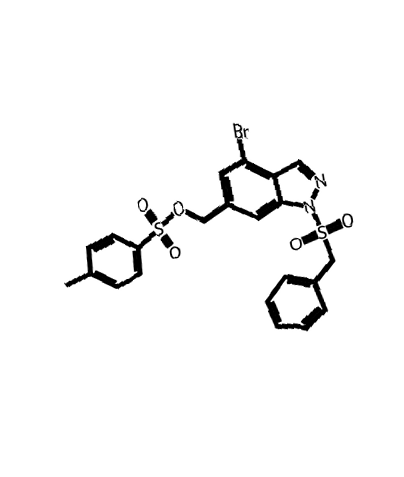 Cc1ccc(S(=O)(=O)OCc2cc(Br)c3cnn(S(=O)(=O)Cc4ccccc4)c3c2)cc1